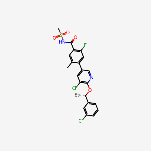 CC[C@H](Oc1ncc(-c2cc(F)c(C(=O)NS(C)(=O)=O)cc2C)cc1Cl)c1cccc(Cl)c1